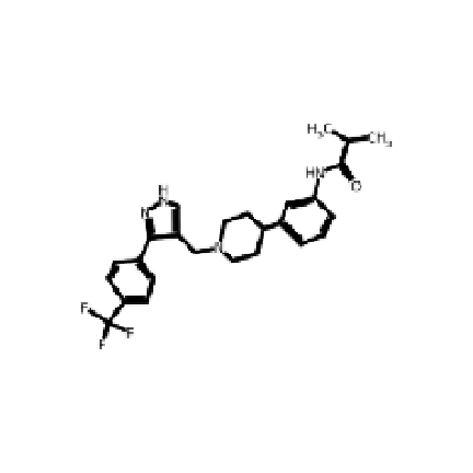 CC(C)C(=O)Nc1cccc(C2CCN(Cc3c[nH]nc3-c3ccc(C(F)(F)F)cc3)CC2)c1